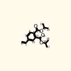 C=Cc1ccc(C(=O)OC(C)C)c(C(=O)OC(C)C)c1